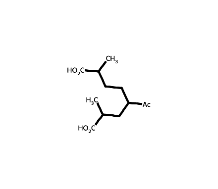 CC(=O)C(CCC(C)C(=O)O)CC(C)C(=O)O